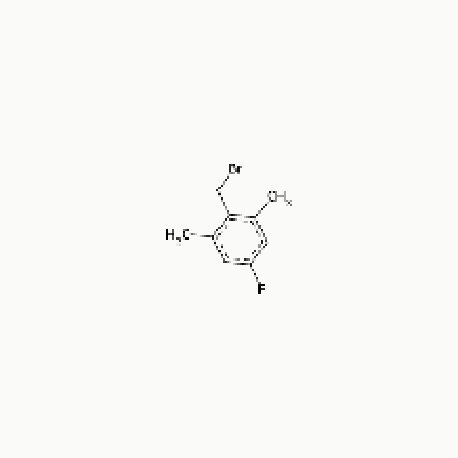 Cc1cc(F)cc(C)c1CBr